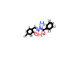 Cc1ccc(/C=N/NC(=O)c2ccccc2)c(O)c1